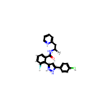 CC(=O)C(Cc1ccccn1)NC(=O)c1cccc(F)c1-c1cc(-c2ccc(Cl)cc2)[nH]n1